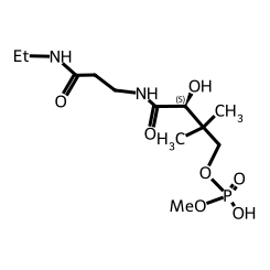 CCNC(=O)CCNC(=O)[C@@H](O)C(C)(C)COP(=O)(O)OC